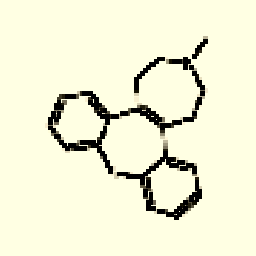 CN1CCC2=C(CC1)c1ccccc1Sc1ccccc12